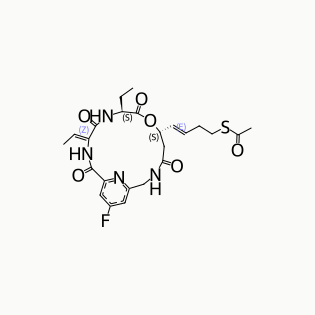 C/C=C1\NC(=O)c2cc(F)cc(n2)CNC(=O)C[C@@H](/C=C/CCSC(C)=O)OC(=O)[C@H](CC)NC1=O